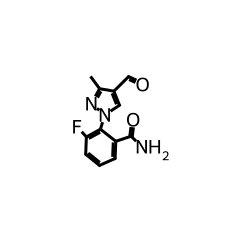 Cc1nn(-c2c(F)cccc2C(N)=O)cc1C=O